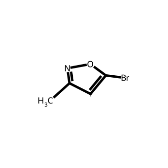 Cc1[c]c(Br)on1